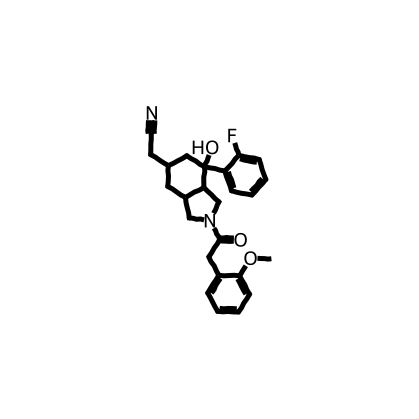 COc1ccccc1CC(=O)N1CC2CC(CC#N)CC(O)(c3ccccc3F)C2C1